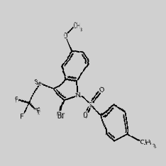 COc1ccc2c(c1)c([Se]C(F)(F)F)c(Br)n2S(=O)(=O)c1ccc(C)cc1